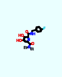 CCN(CC)C(=O)c1cc(O)c(O)c(C(=O)NCc2ccc(F)cc2)n1